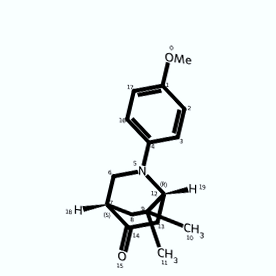 COc1ccc(N2C[C@@H]3CC(C)(C)[C@H]2CC3=O)cc1